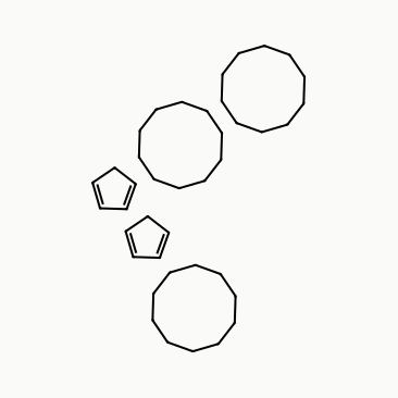 C1=CCC=C1.C1=CCC=C1.C1CCCCCCCCC1.C1CCCCCCCCC1.C1CCCCCCCCC1